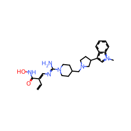 C=C/C(=C\N=C(/N)N1CCC(CN2CCC(c3cn(C)c4ccccc34)C2)CC1)C(=O)NO